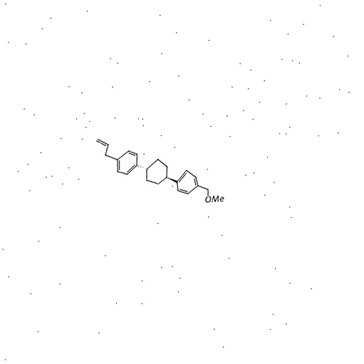 C=CCc1ccc([C@H]2CC[C@H](c3ccc(COC)cc3)CC2)cc1